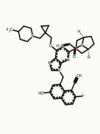 C#Cc1c(F)ccc2cc(O)cc(Cn3cnc4c(OCC5(CN6CCC(C(F)(F)F)CC6)CC5)nc(N5C[C@H]6CC[C@@H](C5)N6C(=O)C=C)nc43)c12